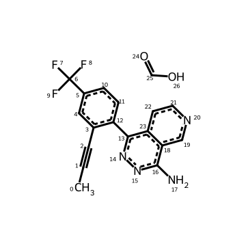 CC#Cc1cc(C(F)(F)F)ccc1-c1nnc(N)c2cnccc12.O=CO